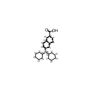 O=C(O)c1ccc2cc(N(C3CCCCC3)C3CCCCC3)ccc2c1